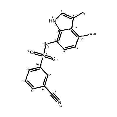 Cc1c[nH]c2c(NS(=O)(=O)c3cccc(C#N)c3)ccc(F)c12